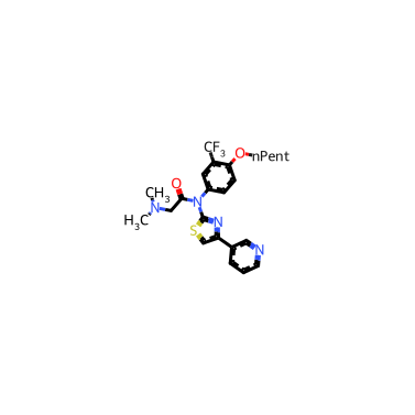 CCCCCOc1ccc(N(C(=O)CN(C)C)c2nc(-c3cccnc3)cs2)cc1C(F)(F)F